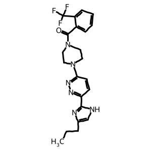 CCCc1c[nH]c(-c2ccc(N3CCN(C(=O)c4ccccc4C(F)(F)F)CC3)nn2)n1